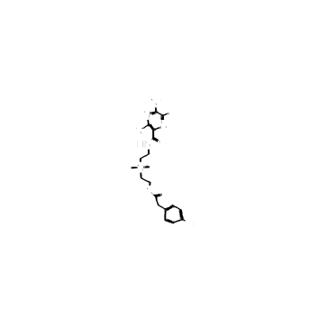 C[N+](C)(CCNC(=O)Cc1ccc(Cl)cc1)CCNC(=O)c1nc(Cl)c(N)nc1N